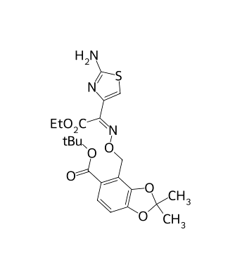 CCOC(=O)C(=NOCc1c(C(=O)OC(C)(C)C)ccc2c1OC(C)(C)O2)c1csc(N)n1